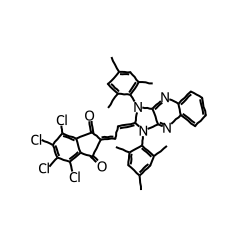 Cc1cc(C)c(N2C(=CC=C3C(=O)c4c(Cl)c(Cl)c(Cl)c(Cl)c4C3=O)N(c3c(C)cc(C)cc3C)c3nc4ccccc4nc32)c(C)c1